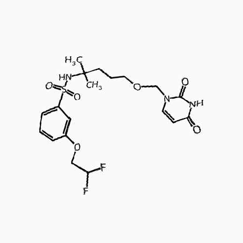 CC(C)(CCCOCn1ccc(=O)[nH]c1=O)NS(=O)(=O)c1cccc(OCC(F)F)c1